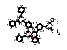 Cc1nc(C)nc(-c2ccc3c(c2)c2ccccc2n3-c2ccc(-c3nc(-c4ccccc4)nc(-c4ccccc4)n3)cc2-c2nc(-c3ccccc3)nc(-c3ccccc3)n2)n1